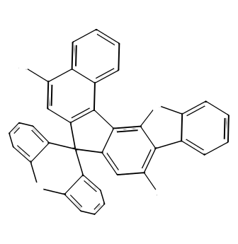 Clc1cc2c(c3ccccc13)-c1c(cc(Cl)c3c1sc1ccccc13)C21c2ccccc2Oc2ccccc21